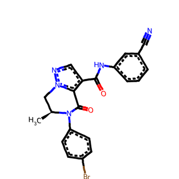 C[C@H]1Cn2ncc(C(=O)Nc3cccc(C#N)c3)c2C(=O)N1c1ccc(Br)cc1